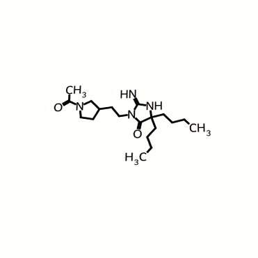 CCCCC1(CCCC)NC(=N)N(CCC2CCN(C(C)=O)C2)C1=O